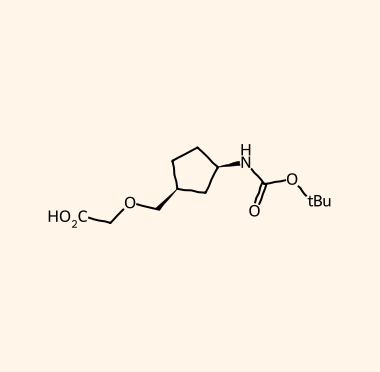 CC(C)(C)OC(=O)N[C@@H]1CC[C@H](COCC(=O)O)C1